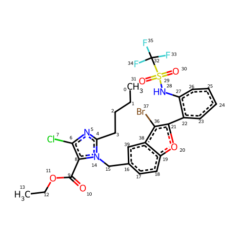 CCCCc1nc(Cl)c(C(=O)OCC)n1Cc1ccc2oc(-c3ccccc3NS(=O)(=O)C(F)(F)F)c(Br)c2c1